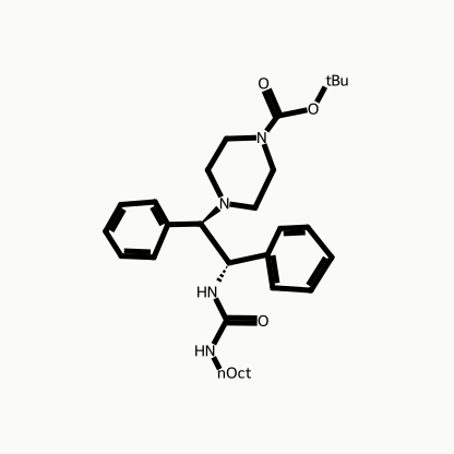 CCCCCCCCNC(=O)N[C@@H](c1ccccc1)[C@@H](c1ccccc1)N1CCN(C(=O)OC(C)(C)C)CC1